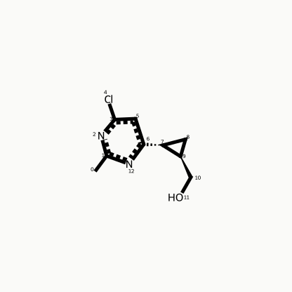 Cc1nc(Cl)cc([C@@H]2C[C@H]2CO)n1